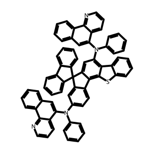 c1ccc(N(c2ccc3c(c2)C2(c4ccccc4-c4ccccc42)c2cc(N(c4ccccc4)c4cc5ccccc5c5ncccc45)c4c(sc5ccccc54)c2-3)c2cc3ccccc3c3ncccc23)cc1